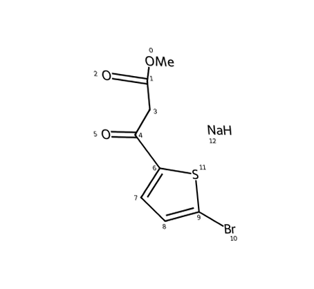 COC(=O)CC(=O)c1ccc(Br)s1.[NaH]